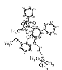 COc1ccccc1Oc1c(OCCOC(C)(C)C)nc(-c2ncccn2)nc1N(C(C)(C)C)S(=O)(=O)c1ccccc1